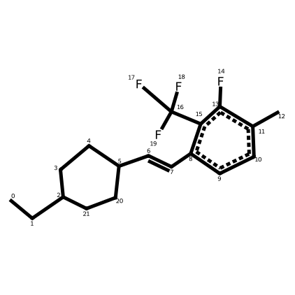 CCC1CCC(/C=C/c2ccc(C)c(F)c2C(F)(F)F)CC1